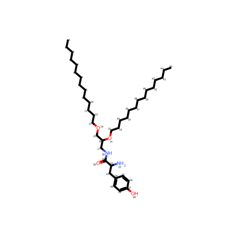 CCCCCCCCCCCCCCOCC(CNC(=O)C(N)Cc1ccc(O)cc1)OCCCCCCCCCCCCCC